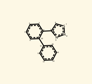 [c]1cccc(-c2csnn2)c1-c1ccccc1